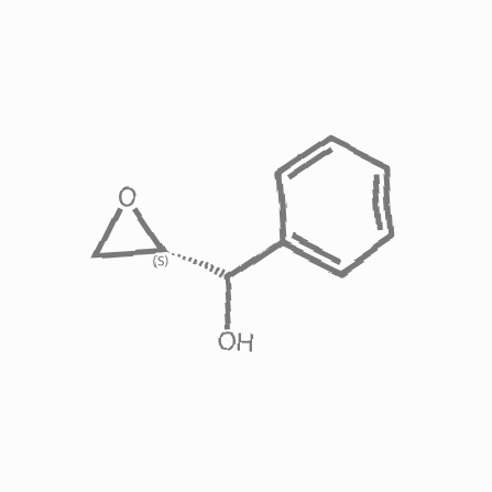 OC(c1ccccc1)[C@@H]1CO1